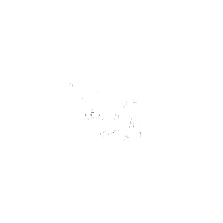 CN[C@H](Cc1ccc(Br)cc1F)NC(=O)[C@@H]1[C@H]2CC[C@H](C2)N1C(=O)OC(C)(C)C